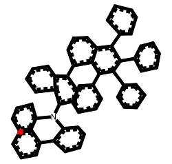 c1ccc(-c2ccccc2N(c2ccccc2)c2ccc(-c3cccc4c(-c5ccccc5)c(-c5ccccc5)c(-c5ccccc5)c(-c5ccccc5)c34)c3ccccc23)cc1